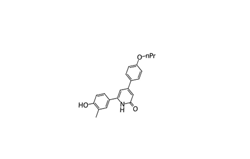 CCCOc1ccc(-c2cc(-c3ccc(O)c(C)c3)[nH]c(=O)c2)cc1